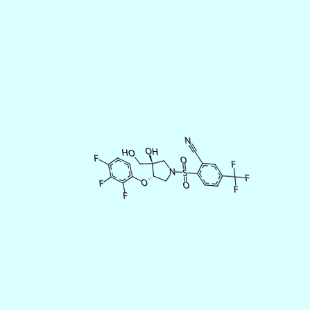 N#Cc1cc(C(F)(F)F)ccc1S(=O)(=O)N1C[C@H](Oc2ccc(F)c(F)c2F)[C@](O)(CO)C1